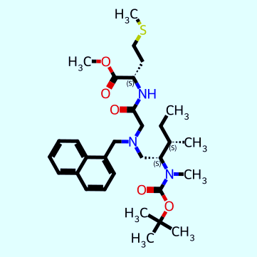 CC[C@H](C)[C@@H](CN(CC(=O)N[C@@H](CCSC)C(=O)OC)Cc1cccc2ccccc12)N(C)C(=O)OC(C)(C)C